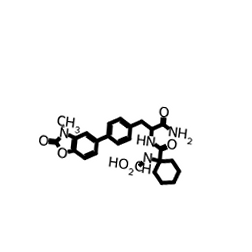 Cn1c(=O)oc2ccc(-c3ccc(CC(NC(=O)C4(NC(=O)O)CCCCC4)C(N)=O)cc3)cc21